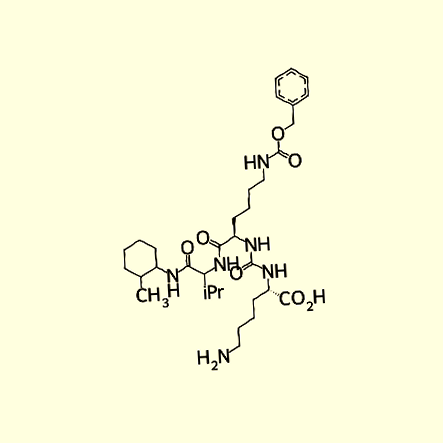 CC(C)C(NC(=O)[C@@H](CCCCNC(=O)OCc1ccccc1)NC(=O)N[C@@H](CCCCN)C(=O)O)C(=O)NC1CCCCC1C